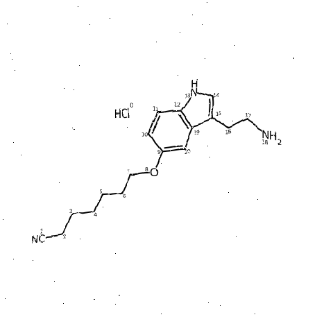 Cl.N#CCCCCCCOc1ccc2[nH]cc(CCN)c2c1